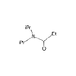 CCC([O])N(C(C)C)C(C)C